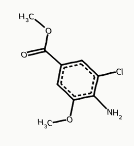 COC(=O)c1cc(Cl)c(N)c(OC)c1